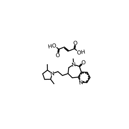 CC1CCC(C)N1CCC1Cc2ncccc2C(=O)N(C)C1.O=C(O)/C=C/C(=O)O